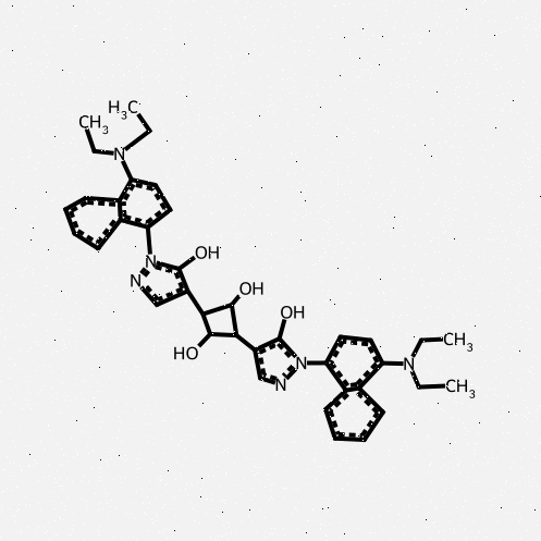 CCN(CC)c1ccc(-n2ncc(C3C(O)C(c4cnn(-c5ccc(N(CC)CC)c6ccccc56)c4O)C3O)c2O)c2ccccc12